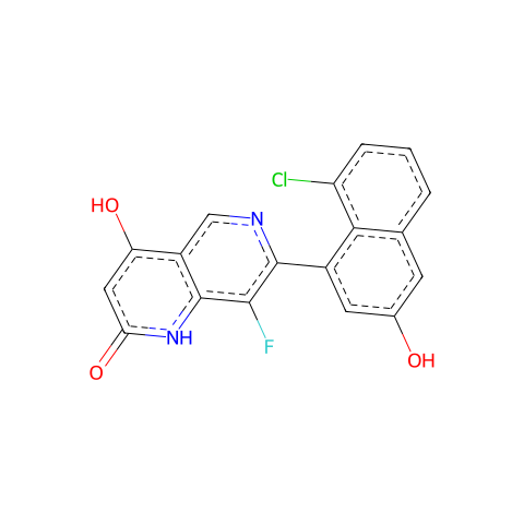 O=c1cc(O)c2cnc(-c3cc(O)cc4cccc(Cl)c34)c(F)c2[nH]1